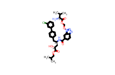 CC(C)COC(=O)[C@H](O)C[C@@H](Cc1ccc(-c2cccc(Cl)c2)cc1)NC(=O)c1ccc2nnn(OCOC(=O)[C@@H](N)C(C)C)c2c1